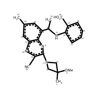 COC1(C)CN(c2nc3c(C(C)Nc4ccccc4C(=O)O)cc(C)cc3nc2C#N)C1